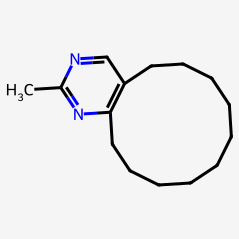 Cc1ncc2c(n1)CCCCCCCCCC2